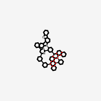 c1ccc(-c2cc(-c3ccc(-n4c5ccccc5c5c6oc7ccccc7c6ccc54)c(-c4nc(-c5ccccc5)cc(-c5cccc(-c6cccc(N7c8ccccc8B8c9ccccc9N(c9ccccc9)c9cccc7c98)c6)c5)n4)c3)nc(-c3ccccc3)n2)cc1